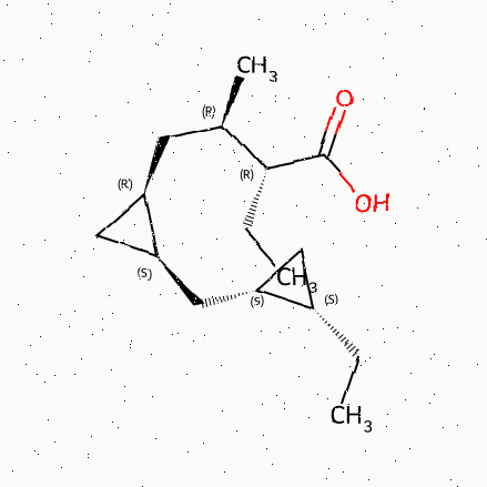 CC[C@H]1C[C@H]1C[C@H]1C[C@H]1C[C@@H](C)[C@@H](CC)C(=O)O